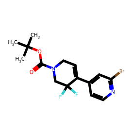 CC(C)(C)OC(=O)N1CC=C(c2ccnc(Br)c2)C(F)(F)C1